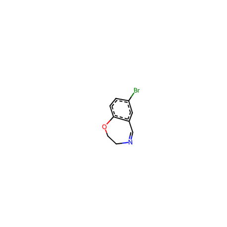 Brc1ccc2c(c1)C=NCCO2